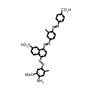 COc1cc(N=Nc2ccc(N=Nc3ccc(N=Nc4ccc(C(=O)O)cc4)c(C)c3)c3cc(S(=O)(=O)O)ccc23)c(C)cc1N